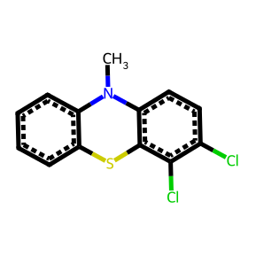 CN1c2ccccc2Sc2c1ccc(Cl)c2Cl